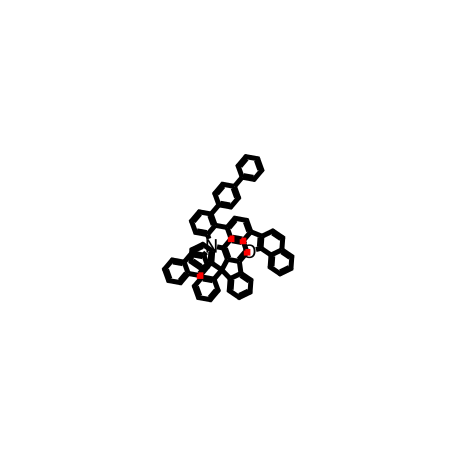 c1ccc(-c2ccc(-c3cccc(N(c4ccc5ccccc5c4)c4cccc5c4C(c4ccccc4)(c4ccccc4)c4ccccc4-5)c3-c3ccc4c(c3)oc3c5ccccc5ccc43)cc2)cc1